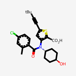 Cc1cc(Cl)ccc1C(=O)N(c1cc(C#CC(C)(C)C)sc1C(=O)O)[C@H]1CC[C@H](O)CC1